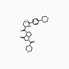 CC(C)CC(NC(=O)c1ccc(N2CCOCC2)cc1)C(=O)N1CCC2C1C(=O)CN2C(=O)N1CCOCC1